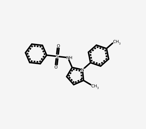 Cc1ccc(-n2c(C)ccc2NS(=O)(=O)c2ccccc2)cc1